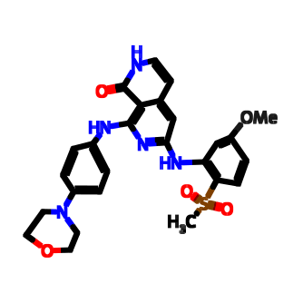 COc1ccc(S(C)(=O)=O)c(Nc2cc3cc[nH]c(=O)c3c(Nc3ccc(N4CCOCC4)cc3)n2)c1